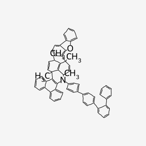 CC1C=CC2(C)C3=C1C(C)(c1cccc4c1oc1ccccc14)C=CC3(C)N(c1ccc(-c3ccc(-c4ccccc4-c4ccccc4)cc3)cc1)c1c2c2ccccc2c2ccccc12